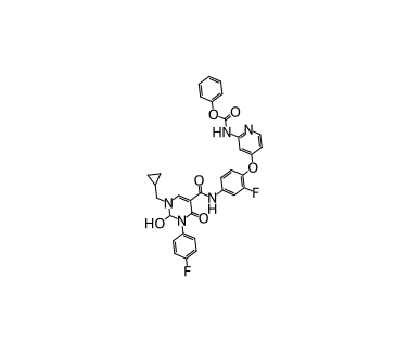 O=C(Nc1cc(Oc2ccc(NC(=O)C3=CN(CC4CC4)C(O)N(c4ccc(F)cc4)C3=O)cc2F)ccn1)Oc1ccccc1